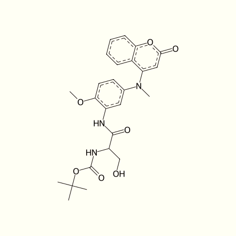 COc1ccc(N(C)c2cc(=O)oc3ccccc23)cc1NC(=O)C(CO)NC(=O)OC(C)(C)C